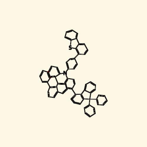 C1=C=C(c2ccc(N(c3ccc(-c4cccc5c4sc4ccccc45)cc3)c3ccccc3-c3cccc4cccc(-c5ccccc5)c34)cc2)C2=C(C=1)C(c1ccccc1)(c1ccccc1)c1ccccc12